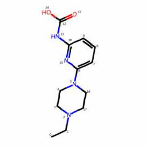 CCN1CCN(c2cccc(NC(=O)O)n2)CC1